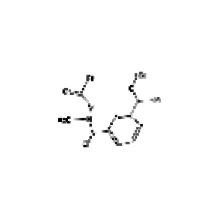 CCCCOC(c1cccc(N(Cl)N(OC(C)=O)OC(=O)CC)c1)C(C)C